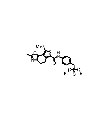 CCOP(=O)(Cc1ccc(NC(=O)c2sc(SC)c3c2CCc2nc(C)oc2-3)cc1)OCC